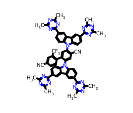 Cc1nc(C)nc(-c2ccc3c(c2)c2cc(-c4nc(C)nc(C)n4)ccc2n3-c2cc(-c3ccc(C#N)cc3C(F)(F)F)c(-n3c4ccc(-c5nc(C)nc(C)n5)cc4c4cc(-c5nc(C)nc(C)n5)ccc43)cc2C#N)n1